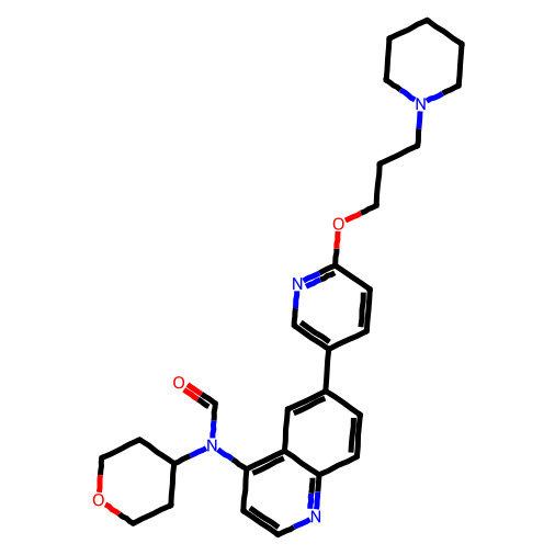 O=CN(c1ccnc2ccc(-c3ccc(OCCCN4CCCCC4)nc3)cc12)C1CCOCC1